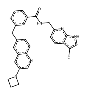 O=C(NCc1ccc2c(Cl)c[nH]c2n1)c1ccnc(Cc2ccc3ncc(N4CCC4)cc3c2)c1